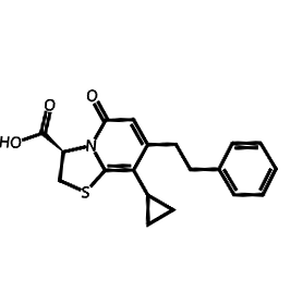 O=C(O)[C@@H]1CSc2c(C3CC3)c(CCc3ccccc3)cc(=O)n21